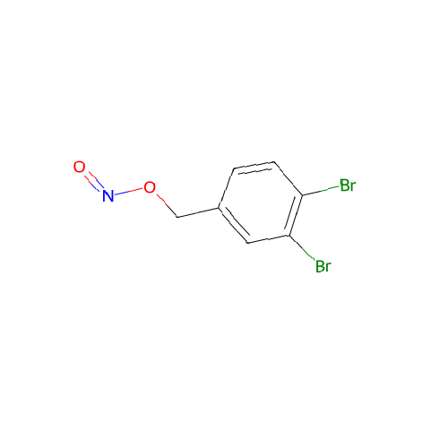 O=NOCc1ccc(Br)c(Br)c1